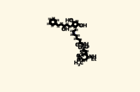 CCN[C@@H]1C[C@@H](C)S(=O)(=O)c2sc(S(=O)(=O)NC(=O)CCC/C=C\C[C@@H]3[C@@H](CC[C@@H](O)CCc4ccccc4)[C@H](O)C[C@@H]3O)cc21